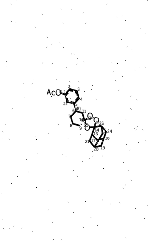 CC(=O)Oc1cccc([C@@H]2CCC[C@]3(C2)OOC2(O3)C3CC4CC(C3)CC2C4)c1